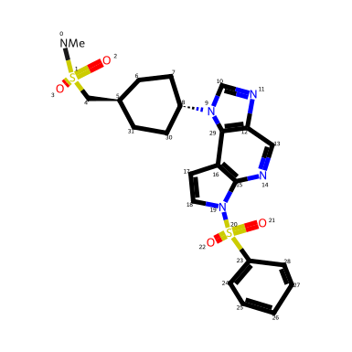 CNS(=O)(=O)C[C@H]1CC[C@H](n2cnc3cnc4c(ccn4S(=O)(=O)c4ccccc4)c32)CC1